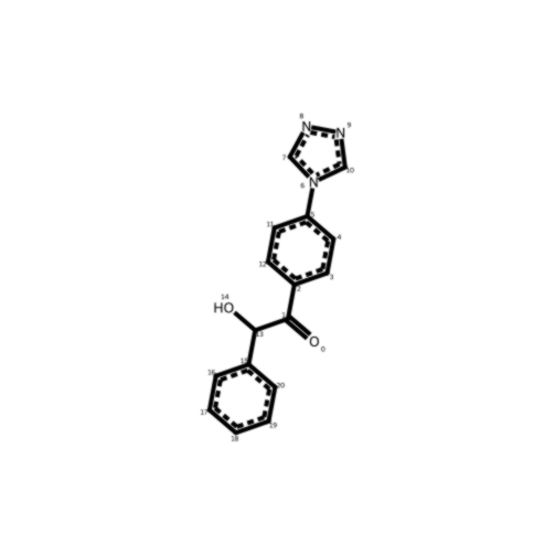 O=C(c1ccc(-n2cnnc2)cc1)C(O)c1ccccc1